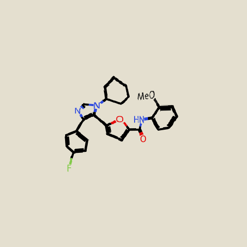 COc1ccccc1NC(=O)c1ccc(-c2c(-c3ccc(F)cc3)ncn2C2CCCCC2)o1